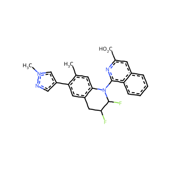 Cc1cc2c(cc1-c1cnn(C)c1)CC(F)C(F)N2c1nc(C(=O)O)cc2ccccc12